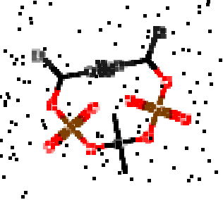 CCC(OC)OS(=O)(=O)O[Si](C)(C)OS(=O)(=O)OC(CC)OC